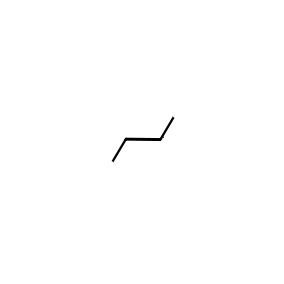 [CH2]C[C]C